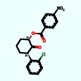 O=C(O[C@H]1CCC[C@@H](c2ccccc2Cl)C1=O)c1ccc([N+](=O)[O-])cc1